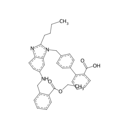 CCCCc1nc2ccc(NCc3ccccc3C(=O)OCC)cc2n1Cc1ccc(-c2ccccc2C(=O)O)cc1